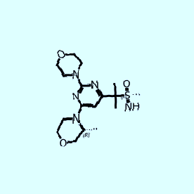 C[C@@H]1COCCN1c1cc(C(C)(C)[S@](C)(=N)=O)nc(N2CCOCC2)n1